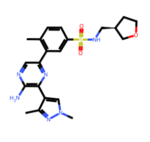 Cc1ccc(S(=O)(=O)NC[C@H]2CCOC2)cc1-c1cnc(N)c(-c2cn(C)nc2C)n1